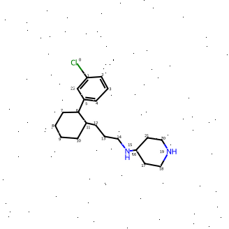 Clc1cccc(C2CCCCC2CCCNC2CCNCC2)c1